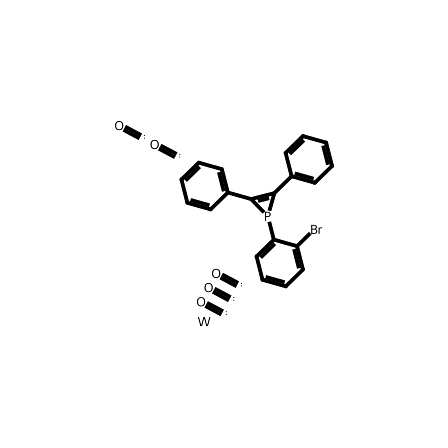 Brc1ccccc1P1C(c2ccccc2)=C1c1ccccc1.[C]=O.[C]=O.[C]=O.[C]=O.[C]=O.[W]